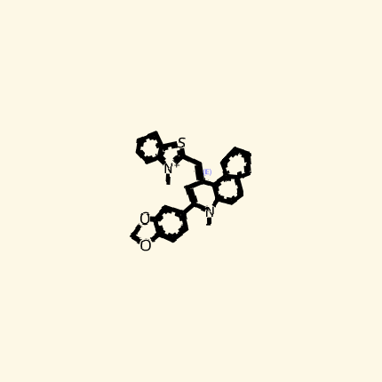 CN1C(c2ccc3c(c2)OCO3)=C/C(=C\c2sc3ccccc3[n+]2C)c2c1ccc1ccccc21